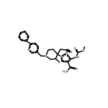 COC(=O)Nc1nn(C2(CC#N)CCN(Cc3ccc(-c4ccccc4)nc3)CC2F)cc1C(N)=O